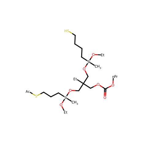 CCCOC(=O)OCC(CC)(CO[Si](C)(CCCCS)OCC)CO[Si](C)(CCCSC(C)=O)OCC